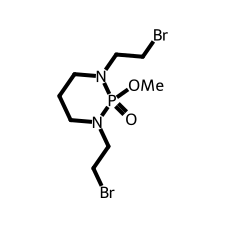 COP1(=O)N(CCBr)CCCN1CCBr